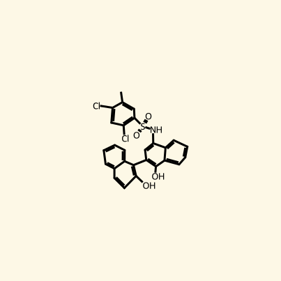 Cc1cc(S(=O)(=O)Nc2cc(-c3c(O)ccc4ccccc34)c(O)c3ccccc23)c(Cl)cc1Cl